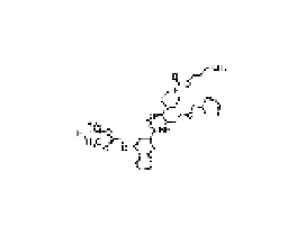 CCCCOC(=O)N1CCN(C(=O)C(CCOCc2ccccc2)NC(=O)c2cc(OCC(=O)OC(C)(C)C)c3ccccc3n2)CC1